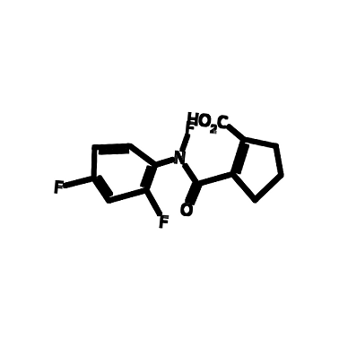 O=C(O)C1=C(C(=O)N(F)c2ccc(F)cc2F)CCC1